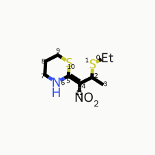 CCSC(C)C(=C1NCCCS1)[N+](=O)[O-]